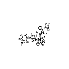 CS(=O)(=O)N[C@H]1CCN(C(=O)C23CC(C2)C3)[C@H]1Cc1csc(-c2cccc(F)c2)n1